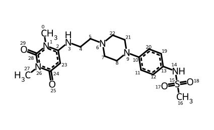 Cn1c(NCCN2CCN(c3ccc(NS(C)(=O)=O)cc3)CC2)cc(=O)n(C)c1=O